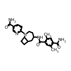 Cc1cc(C(=O)NC2CCN(c3ccc(C(N)=O)cn3)C3CCC3C2)c(C)cc1C(N)=O